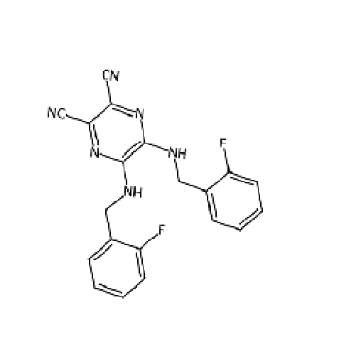 N#Cc1nc(NCc2ccccc2F)c(NCc2ccccc2F)nc1C#N